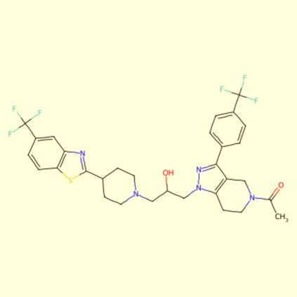 CC(=O)N1CCc2c(c(-c3ccc(C(F)(F)F)cc3)nn2CC(O)CN2CCC(c3nc4cc(C(F)(F)F)ccc4s3)CC2)C1